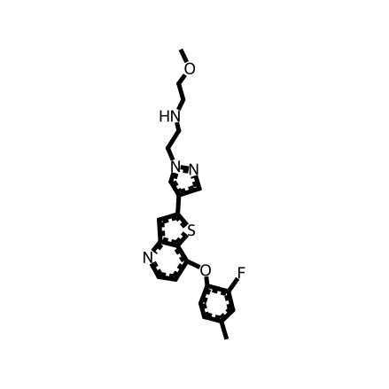 COCCNCCn1cc(-c2cc3nccc(Oc4ccc(C)cc4F)c3s2)cn1